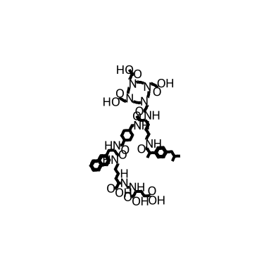 CC(C)Cc1ccc(C(C)C(=O)NCCCCC(NC(=O)CN2CCN(CC(=O)O)CCN(CC(=O)O)CCN(CC(=O)O)CC2)C(=O)NCC2CCC(C(=O)NC(Cc3ccc4ccccc4c3)C(=O)NCCCCC(NCNC(CCC(=O)O)C(=O)O)C(=O)O)CC2)cc1